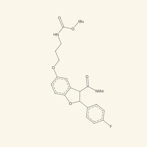 CNC(=O)C1c2cc(OCCCNC(=O)OC(C)(C)C)ccc2OC1c1ccc(F)cc1